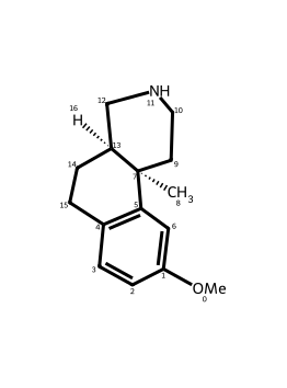 COc1ccc2c(c1)[C@]1(C)CCNC[C@@H]1CC2